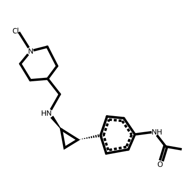 CC(=O)Nc1ccc([C@@H]2C[C@H]2NCC2CCN(Cl)CC2)cc1